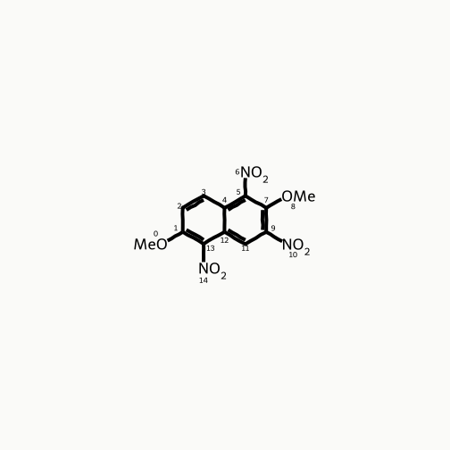 COc1ccc2c([N+](=O)[O-])c(OC)c([N+](=O)[O-])cc2c1[N+](=O)[O-]